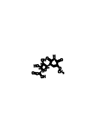 COc1cn([C@@H]2O[C@H](C(O)=C=O)[C@@H](O)[C@H]2O)c(=O)[nH]c1=O